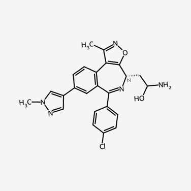 Cc1noc2c1-c1ccc(-c3cnn(C)c3)cc1C(c1ccc(Cl)cc1)=N[C@H]2CC(N)O